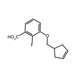 O=C(O)c1cccc(OCC2CC=CC2)c1F